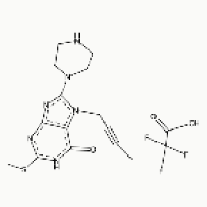 CC#CCn1c(N2CCNCC2)nc2nc(SC)[nH]c(=O)c21.O=C(O)C(F)(F)F